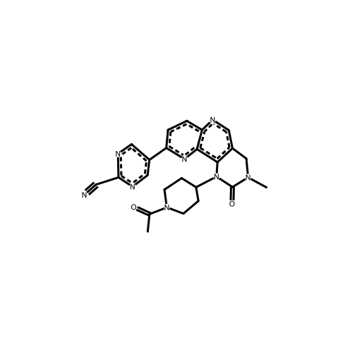 CC(=O)N1CCC(N2C(=O)N(C)Cc3cnc4ccc(-c5cnc(C#N)nc5)nc4c32)CC1